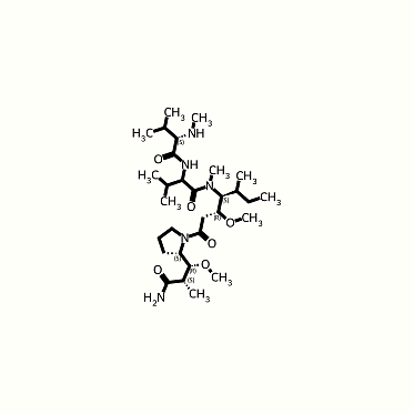 CCC(C)[C@@H]([C@@H](CC(=O)N1CCC[C@H]1[C@H](OC)[C@H](C)C(N)=O)OC)N(C)C(=O)C(NC(=O)[C@@H](NC)C(C)C)C(C)C